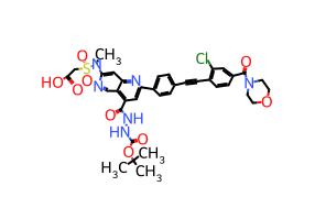 CN(c1cc2nc(-c3ccc(C#Cc4ccc(C(=O)N5CCOCC5)cc4Cl)cc3)cc(C(=O)NNC(=O)OC(C)(C)C)c2cn1)S(=O)(=O)CC(=O)O